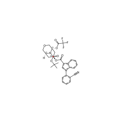 CC(C)(C)OC(=O)N1[C@@H]2COC[C@@]1(OC(=O)C(F)(F)F)C[C@@H](OC(=O)c1cn(-c3ccccc3C#N)c3ccccc13)C2